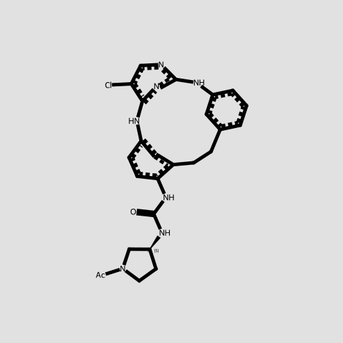 CC(=O)N1CC[C@H](NC(=O)Nc2ccc3cc2CCc2cccc(c2)Nc2ncc(Cl)c(n2)N3)C1